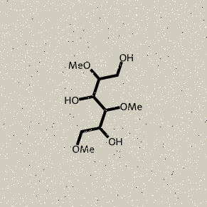 COCC(O)C(OC)C(O)C(CO)OC